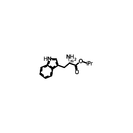 CC(C)OC(=O)[C@@H](N)Cc1c[nH]c2ccccc12